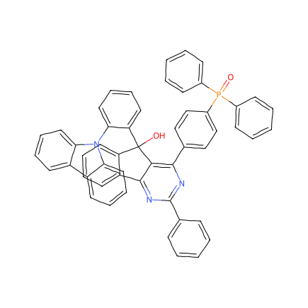 O=P(c1ccccc1)(c1ccccc1)c1ccc(-c2nc(-c3ccccc3)nc3c2C(O)(c2ccccc2-n2c4ccccc4c4ccccc42)c2ccccc2-3)cc1